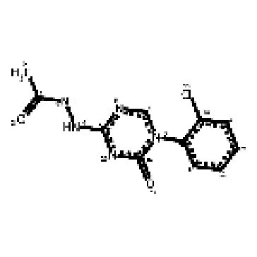 CC(=O)NNc1ncn(-c2ccccc2Cl)c(=O)n1